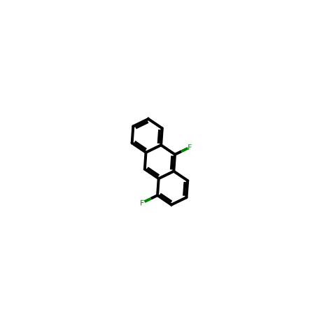 Fc1[c]ccc2c(F)c3c[c]ccc3cc12